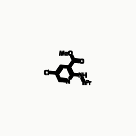 CCCNc1ncc(Cl)cc1C(=O)OC